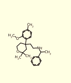 COc1cc(C)ccc1C1(CCNC(C)c2ccccc2)CCOC(C)(C)C1